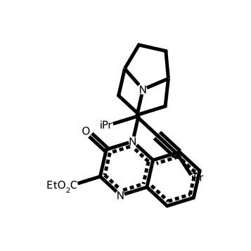 CCOC(=O)c1nc2ccccc2n(C2CC3CCC(C2)N3C(C#CC(C)C)C(C)C)c1=O